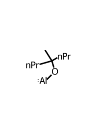 CCCC(C)(CCC)[O][Al]